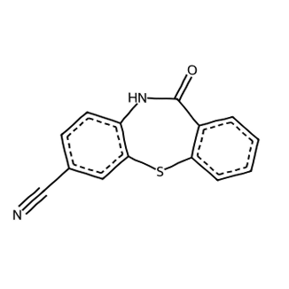 N#Cc1ccc2c(c1)Sc1ccccc1C(=O)N2